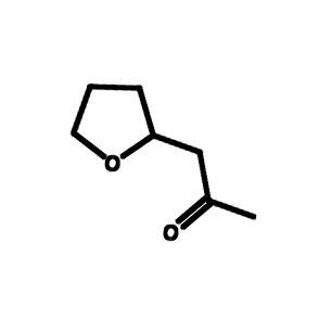 CC(=O)CC1CCCO1